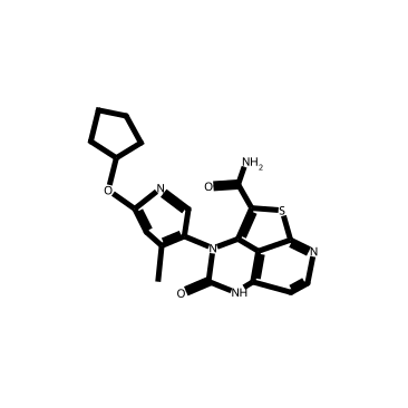 Cc1cc(OC2CCCC2)ncc1N1C(=O)Nc2ccnc3sc(C(N)=O)c1c23